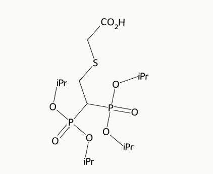 CC(C)OP(=O)(OC(C)C)C(CSCC(=O)O)P(=O)(OC(C)C)OC(C)C